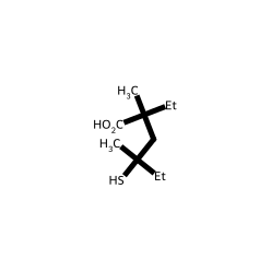 CCC(C)(S)CC(C)(CC)C(=O)O